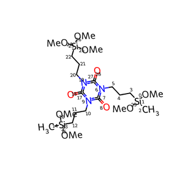 CO[Si](C)(CCCn1c(=O)n(CCC[Si](C)(OC)OC)c(=O)n(CCC[Si](OC)(OC)OC)c1=O)OC